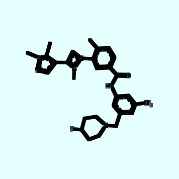 Cc1ccc(C(=O)Nc2cc(CN3CCC(F)CC3)cc(C(F)(F)F)c2)cc1-n1cc(-c2cnn(C)c2C)n1C